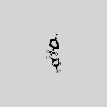 CC(C)c1nnc(NS(=O)(=O)c2ccc(F)cc2)s1